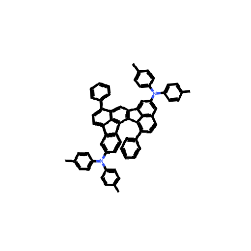 Cc1ccc(N(c2ccc(C)cc2)c2ccc3c(c2)c2ccc(-c4ccccc4)c4cc5c6cc(N(c7ccc(C)cc7)c7ccc(C)cc7)cc7ccc(-c8ccccc8)c(c76)c5c3c42)cc1